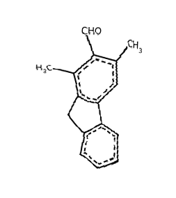 Cc1cc2c(c(C)c1C=O)Cc1ccccc1-2